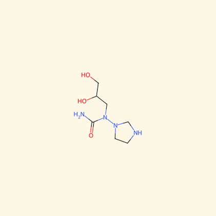 NC(=O)N(CC(O)CO)N1CCNC1